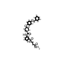 NC(=O)CCNC(=O)c1cccc(NC(=O)N2CCC(Oc3ccc(OCc4ccccc4)cc3)CC2)c1